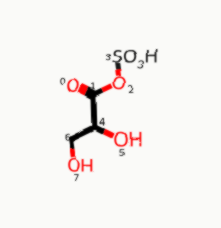 O=C(OS(=O)(=O)O)C(O)CO